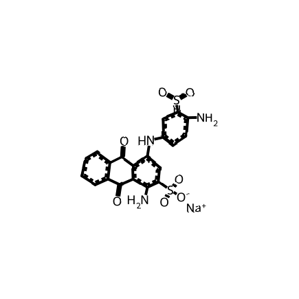 Nc1ccc(Nc2cc(S(=O)(=O)[O-])c(N)c3c2C(=O)c2ccccc2C3=O)cc1[SH](=O)=O.[Na+]